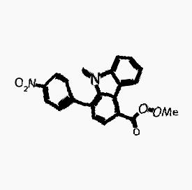 COOC(=O)c1ccc(-c2ccc([N+](=O)[O-])cc2)c2c1c1ccccc1n2C